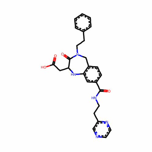 O=C(O)CC1Nc2cc(C(=O)NCCc3cnccn3)ccc2CN(CCc2ccccc2)C1=O